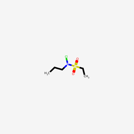 CCCN(Cl)S(=O)(=O)CC